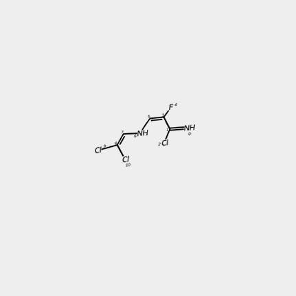 N=C(Cl)/C(F)=C\NC=C(Cl)Cl